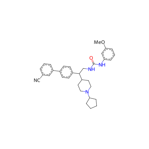 COc1cccc(NC(=O)NCC(c2ccc(-c3cccc(C#N)c3)cc2)C2CCN(C3CCCC3)CC2)c1